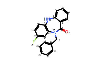 O=C1c2ccccc2Nc2ccc(F)cc2N1Cc1ccccc1